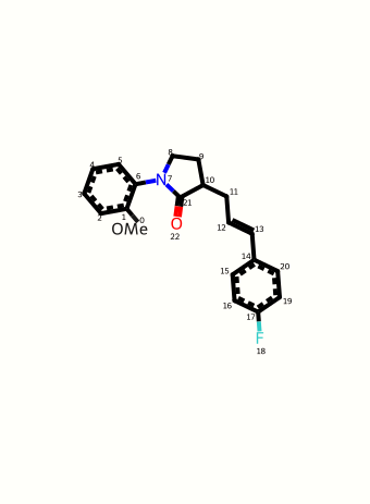 COc1ccccc1N1CCC(CC=Cc2ccc(F)cc2)C1=O